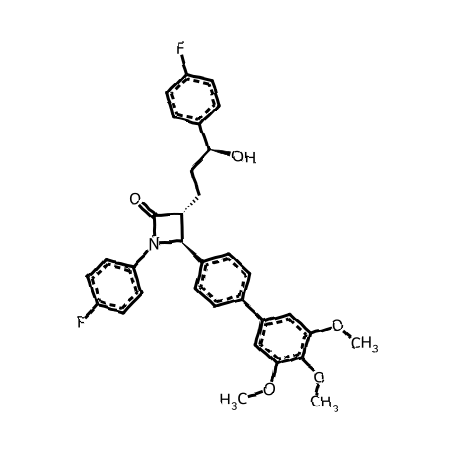 COc1cc(-c2ccc([C@@H]3[C@@H](CC[C@H](O)c4ccc(F)cc4)C(=O)N3c3ccc(F)cc3)cc2)cc(OC)c1OC